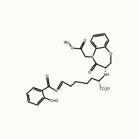 CCOC(=O)[C@H](CCCCC=NC(=O)c1ccccc1C=O)N[C@H]1COc2ccccc2N(CC(=O)OC(C)(C)C)C1=O